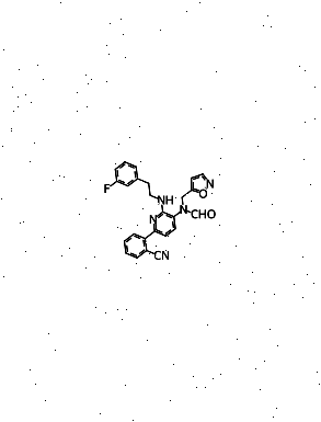 N#Cc1ccccc1-c1ccc(N(C=O)Cc2ccno2)c(NCCc2cccc(F)c2)n1